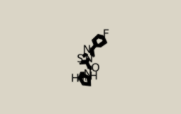 O=C(c1csc2nc(-c3ccc(F)cc3)cn12)N1C[C@H]2CC[C@@H]1C2